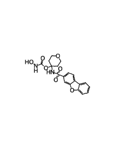 O=C(NO)OC1(NS(=O)(=O)c2ccc3c(c2)oc2ccccc23)CCOCC1